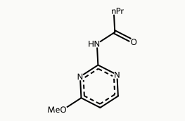 CCCC(=O)Nc1nccc(OC)n1